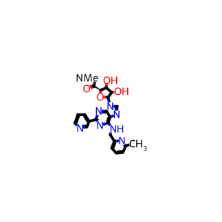 CNC(=O)[C@@H]1OC(n2cnc3c(NCc4cccc(C)n4)nc(-c4cccnc4)nc32)C(O)C1O